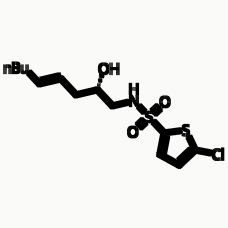 CCCCC=CC[C@H](O)CNS(=O)(=O)c1ccc(Cl)s1